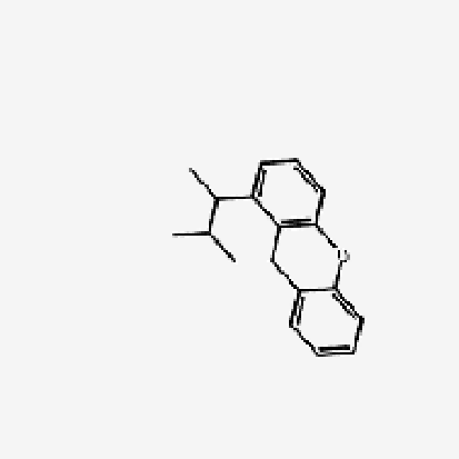 CC(C)C(C)c1cccc2c1Cc1ccccc1O2